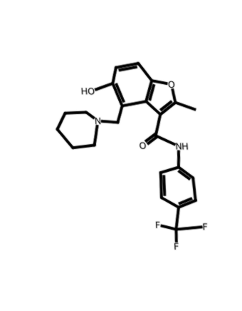 Cc1oc2ccc(O)c(CN3CCCCC3)c2c1C(=O)Nc1ccc(C(F)(F)F)cc1